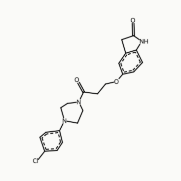 O=C1Cc2cc(OCCC(=O)N3CCN(c4ccc(Cl)cc4)CC3)ccc2N1